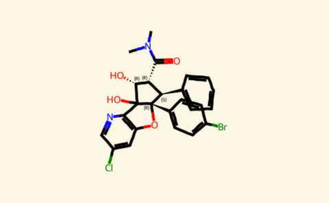 CN(C)C(=O)[C@H]1[C@@H](O)C2(O)c3ncc(Cl)cc3O[C@@]2(c2ccc(Br)cc2)[C@@H]1c1ccccc1